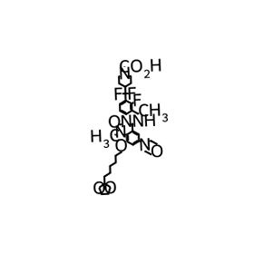 C[C@@H](Nc1nc(=O)n(C)c2c(OCCCCCCC3OCCO3)cc(N3CCOCC3)cc12)c1cccc(C(F)(F)C2CCN(C(=O)O)CC2)c1F